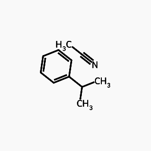 CC#N.CC(C)c1ccccc1